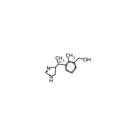 Cc1c(CO)cccc1[C@H](C)C1CNC=N1